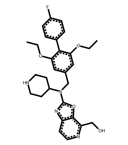 CCOc1cc(CN(c2nc3ccnc(CO)c3o2)C2CCNCC2)cc(OCC)c1-c1ccc(F)cc1